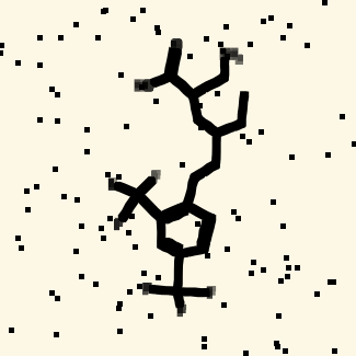 CCC(CCc1ccc(C(F)(F)F)cc1C(F)(F)F)CC(CN)C(=O)O